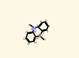 CB1c2ccccc2N(C)c2ccccc21